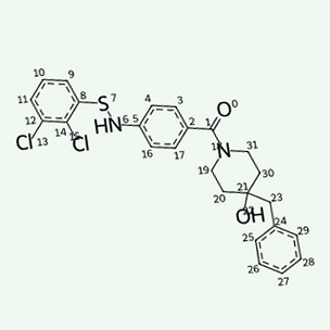 O=C(c1ccc(NSc2cccc(Cl)c2Cl)cc1)N1CCC(O)(Cc2ccccc2)CC1